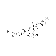 C=CC(=O)N1CCC2(CCN(C(=O)c3ncnc(N)c3-c3ccc(Oc4nccc(C)n4)c(F)c3)C2)C1